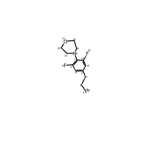 CC(C)CCc1cc(F)c(N2CCOCC2)c(F)c1